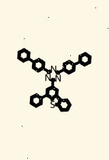 c1ccc(-c2ccc(-c3nc(-c4ccc(-c5ccccc5)cc4)nc(-c4cc(-c5ccccc5)c5sc6ccccc6c5c4)n3)cc2)cc1